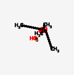 CCCCCCCCCCCCCCCCCC(=O)O[Si](CCCCC)(OCC)OC(=O)CCCCCCCCCCCCCCCCC.OC=S